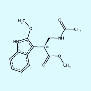 COC(=O)[C@H](CNC(C)=O)c1c(OC)[nH]c2ccccc12